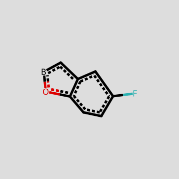 Fc1ccc2obcc2c1